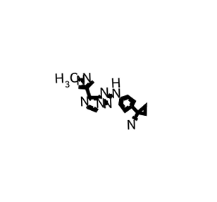 Cn1cc(-c2nccn3nc(Nc4ccc(C5(C#N)CC5)cc4)nc23)cn1